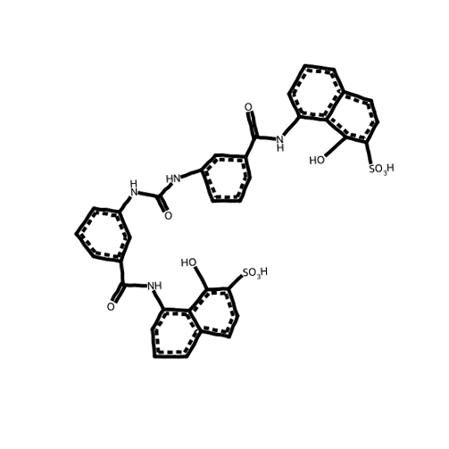 O=C(Nc1cccc(C(=O)Nc2cccc3ccc(S(=O)(=O)O)c(O)c23)c1)Nc1cccc(C(=O)Nc2cccc3ccc(S(=O)(=O)O)c(O)c23)c1